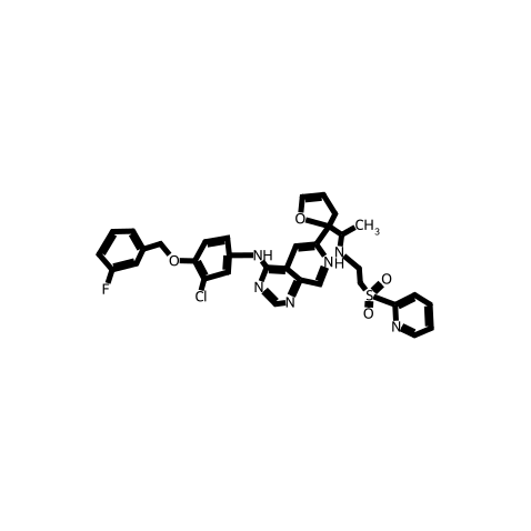 CC(NCCS(=O)(=O)c1ccccn1)C1(c2cc3c(Nc4ccc(OCc5cccc(F)c5)c(Cl)c4)ncnc3cn2)CC=CO1